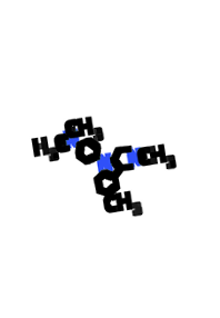 Cc1ccc2c(c1)c1c(n2-c2ccc(N(C)C)cc2)CCN(C)C1